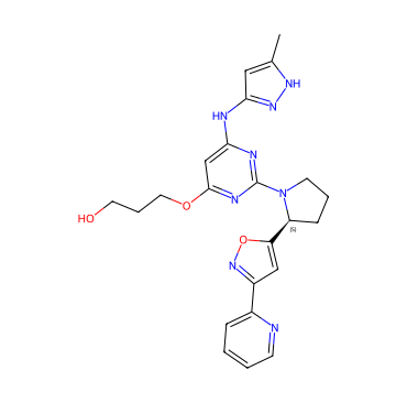 Cc1cc(Nc2cc(OCCCO)nc(N3CCC[C@H]3c3cc(-c4ccccn4)no3)n2)n[nH]1